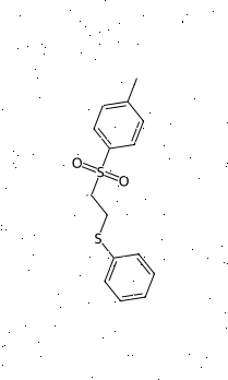 Cc1ccc(S(=O)(=O)[CH]CSc2ccccc2)cc1